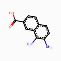 Nc1ccc2ccc(C(=O)O)cc2c1N